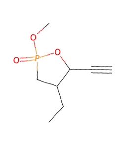 C#CC1OP(=O)(OC)CC1CC